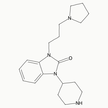 O=c1n(CCCN2CCCC2)c2ccccc2n1C1CCNCC1